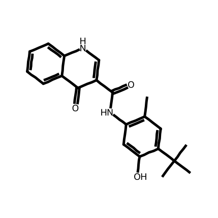 Cc1cc(C(C)(C)C)c(O)cc1NC(=O)c1c[nH]c2ccccc2c1=O